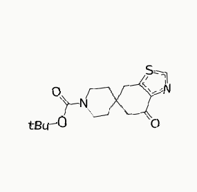 CC(C)(C)OC(=O)N1CCC2(CC1)CC(=O)c1ncsc1C2